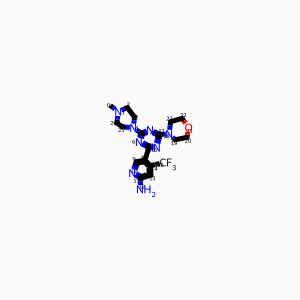 CN1CCN(c2nc(-c3cnc(N)cc3C(F)(F)F)nc(N3CCOCC3)n2)CC1